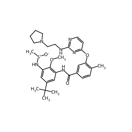 COc1c(NC(=O)c2ccc(C)c(Oc3ccnc(NCCN4CCCC4)n3)c2)cc(C(C)(C)C)cc1N[S+](C)[O-]